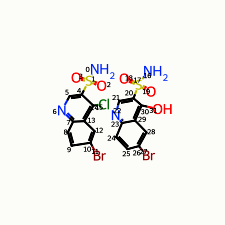 NS(=O)(=O)c1cnc2ccc(Br)cc2c1Cl.NS(=O)(=O)c1cnc2ccc(Br)cc2c1O